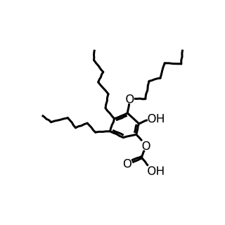 CCCCCCOc1c(O)c(OC(=O)O)cc(CCCCCC)c1CCCCCC